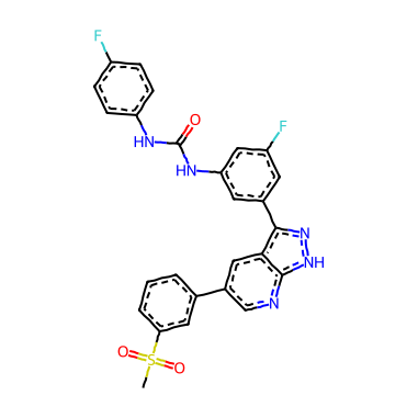 CS(=O)(=O)c1cccc(-c2cnc3[nH]nc(-c4cc(F)cc(NC(=O)Nc5ccc(F)cc5)c4)c3c2)c1